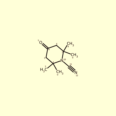 CC1(C)CC(=O)CC(C)(C)N1C#N